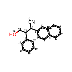 N#CC(c1ccc2ccccc2c1)C(CO)c1ccccc1